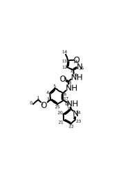 CCOc1ccc(NC(=O)Nc2cc(C)on2)c(Nc2ccccn2)c1